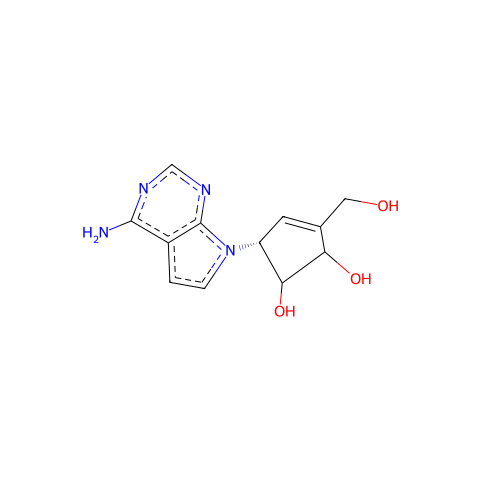 Nc1ncnc2c1ccn2[C@@H]1C=C(CO)C(O)C1O